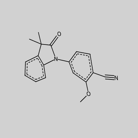 COc1cc(N2C(=O)C(C)(C)c3ccccc32)ccc1C#N